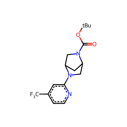 CC(C)(C)OC(=O)N1CC2CC1CN2c1cc(C(F)(F)F)ccn1